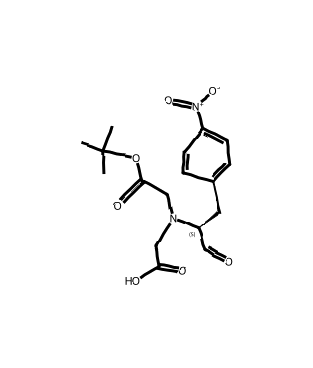 CC(C)(C)OC(=O)CN(CC(=O)O)[C@H](C=O)Cc1ccc([N+](=O)[O-])cc1